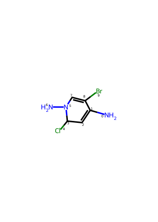 NC1=CC(Cl)N(N)C=C1Br